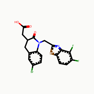 O=C(O)CC1Cc2cc(Br)ccc2N(Cc2nc3c(F)c(F)ccc3s2)C1=O